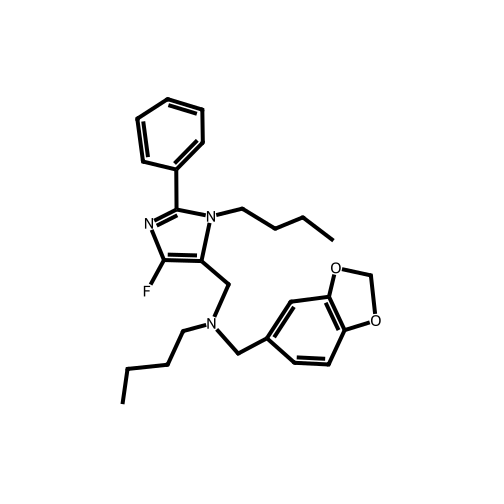 CCCCN(Cc1ccc2c(c1)OCO2)Cc1c(F)nc(-c2ccccc2)n1CCCC